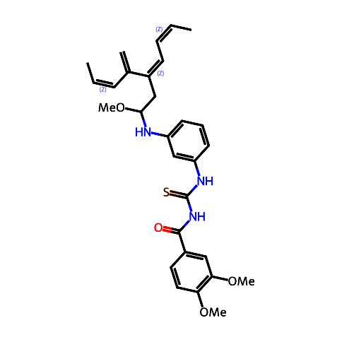 C=C(/C=C\C)/C(=C\C=C/C)CC(Nc1cccc(NC(=S)NC(=O)c2ccc(OC)c(OC)c2)c1)OC